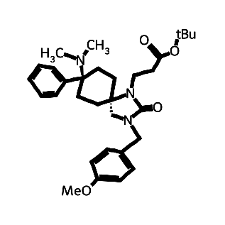 COc1ccc(CN2C[C@]3(CC[C@](c4ccccc4)(N(C)C)CC3)N(CCC(=O)OC(C)(C)C)C2=O)cc1